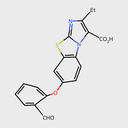 CCc1nc2sc3cc(Oc4ccccc4C=O)ccc3n2c1C(=O)O